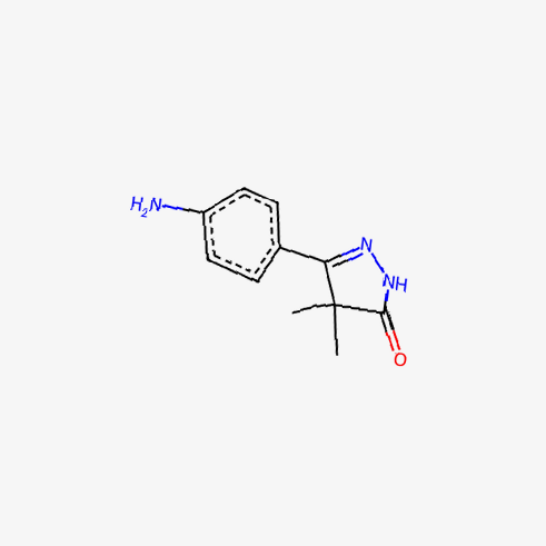 CC1(C)C(=O)NN=C1c1ccc(N)cc1